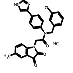 Cc1ccc2c(c1)C(=O)C(=O)N2CC(=O)N(Cc1cccc(Cl)c1)c1ccc(-c2c[nH]cn2)cc1.Cl